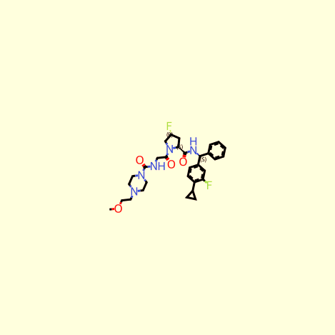 COCCN1CCN(C(=O)NCC(=O)N2C[C@H](F)C[C@H]2C(=O)N[C@@H](c2ccccc2)c2ccc(C3CC3)c(F)c2)CC1